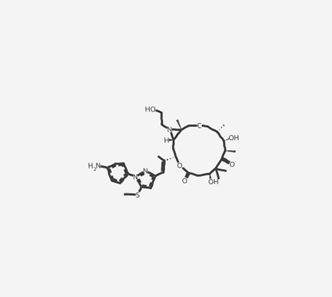 CSc1cc(/C=C(\C)[C@@H]2C[C@@H]3N(CCO)[C@]3(C)CCC[C@H](C)[C@H](O)[C@@H](C)C(=O)C(C)(C)[C@@H](O)CC(=O)O2)nn1-c1ccc(N)cc1